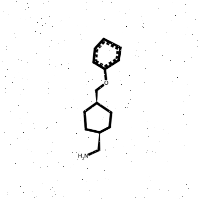 NC[C@H]1CC[C@@H](COc2ccccc2)CC1